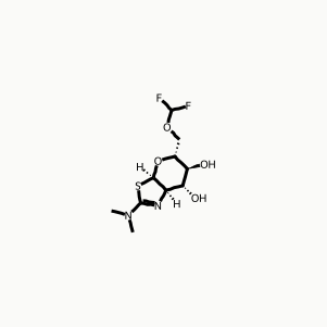 CN(C)C1=N[C@@H]2[C@@H](O)[C@H](O)[C@@H](COC(F)F)O[C@@H]2S1